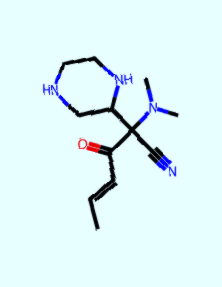 CC=CC(=O)C(C#N)(C1CNCCN1)N(C)C